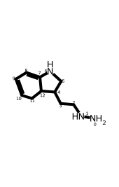 NNCCC1CNC2=CC=CCC21